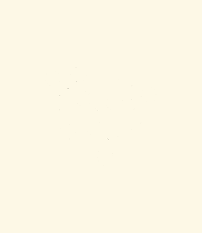 c1ccc(N(c2ccccc2)c2cc(N(c3ccc4c(c3)-c3ccccc3C43c4ccccc4-c4ccccc43)c3ccc4c(c3)-c3ccccc3C43c4ccccc4-c4ccccc43)c3sc4ccccc4c3c2)cc1